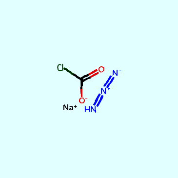 O=C([O-])Cl.[N-]=[N+]=N.[Na+]